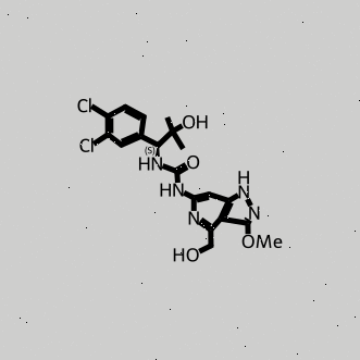 COc1n[nH]c2cc(NC(=O)N[C@@H](c3ccc(Cl)c(Cl)c3)C(C)(C)O)nc(CO)c12